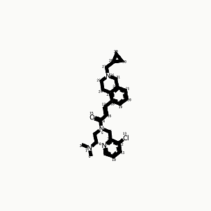 CN(C)CCN(Cc1ncccc1Cl)C(=O)C=Cc1cccc2c1CCN(CC1CC1)C2